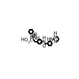 O=C(Nc1ccc(CC(NS(=O)(=O)c2ccccc2)C(=O)O)cc1)c1cccc(NC2=NCCCN2)c1